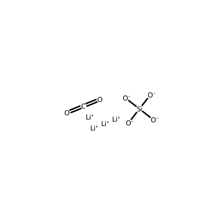 O=C=O.[Li+].[Li+].[Li+].[Li+].[O-][Si]([O-])([O-])[O-]